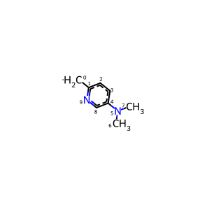 [CH2]c1ccc(N(C)C)cn1